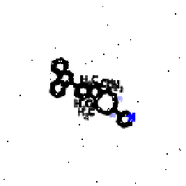 C=C1/C=C\C(c2cccnc2)=C/CC(C)(C)C2=C1C(C)(C)c1cc(-c3cc4ccccc4c4ccccc34)ccc12